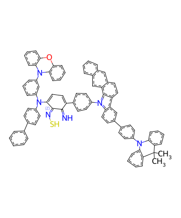 CC1(C)c2ccccc2N(c2ccc(-c3ccc4c(c3)c3ccc5cc6ccccc6cc5c3n4-c3ccc(C4=CC=C(N(c5ccc(-c6ccccc6)cc5)c5cccc(N6c7ccccc7Oc7ccccc76)c5)/C(=N/S)C4=N)cc3)cc2)c2ccccc21